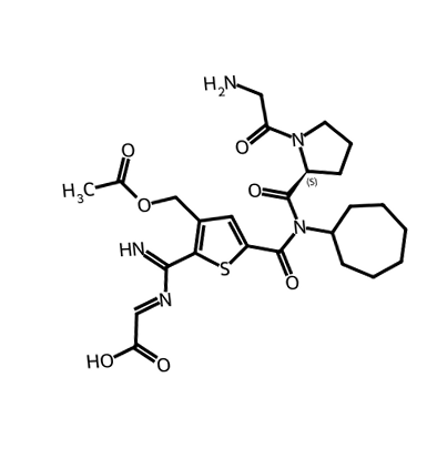 CC(=O)OCc1cc(C(=O)N(C(=O)[C@@H]2CCCN2C(=O)CN)C2CCCCCC2)sc1C(=N)N=CC(=O)O